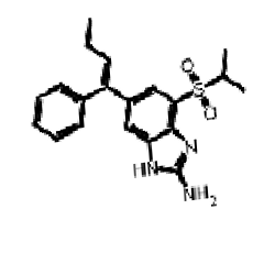 CC/C=C(\c1ccccc1)c1cc(S(=O)(=O)C(C)C)c2nc(N)[nH]c2c1